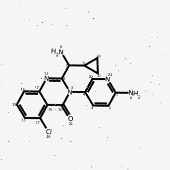 Nc1ccc(-n2c(C(N)C3CC3)nc3cccc(Cl)c3c2=O)cn1